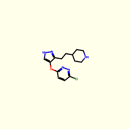 Clc1ccc(Oc2c[nH]nc2CCC2CCNCC2)nn1